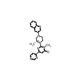 C[C@@H]1CN(c2cnc3ccccc3c2)CCN1c1nc(-c2ccncn2)cc(=O)n1C